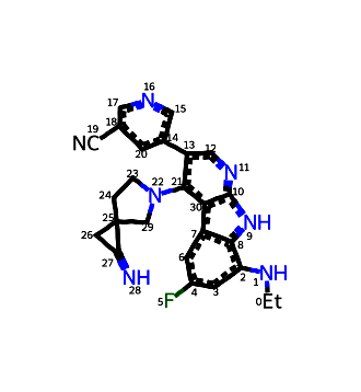 CCNc1cc(F)cc2c1[nH]c1ncc(-c3cncc(C#N)c3)c(N3CCC4(CC4=N)C3)c12